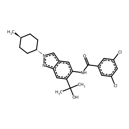 CC(C)(O)c1cc2nn([C@H]3CC[C@H](C)CC3)cc2cc1NC(=O)c1cc(Cl)cc(Cl)c1